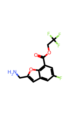 NCc1cc2cc(F)cc(C(=O)OCC(F)(F)F)c2o1